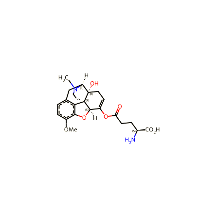 COc1ccc2c3c1O[C@@H]1C(OC(=O)CC[C@H](N)C(=O)O)=CC[C@]4(O)[C@H](C2)N(C)CC[C@@]314